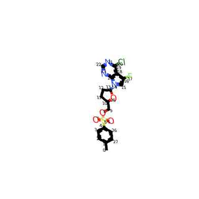 Cc1ccc(S(=O)(=O)OCC2CCC(n3cc(F)c4c(Cl)ncnc43)O2)cc1